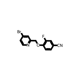 N#Cc1ccc(OCc2cc(Br)ccn2)c(F)c1